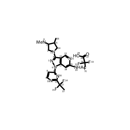 CNC1CN(c2nn(-c3ccnc(C(C)(F)F)n3)c3cc(NC(C)=O)ncc23)CC1C.O=C(O)C(F)(F)F